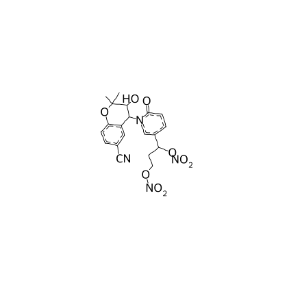 CC1(C)Oc2ccc(C#N)cc2C(n2cc(C(CCO[N+](=O)[O-])O[N+](=O)[O-])ccc2=O)C1O